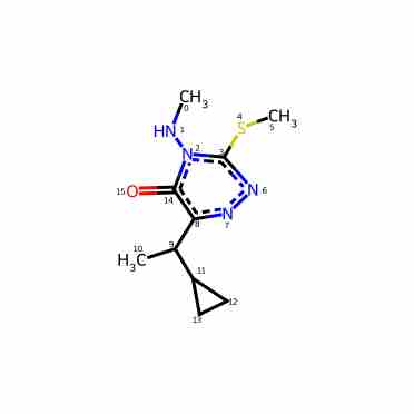 CNn1c(SC)nnc(C(C)C2CC2)c1=O